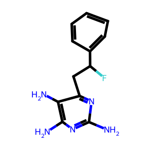 Nc1nc(N)c(N)c(CC(F)c2ccccc2)n1